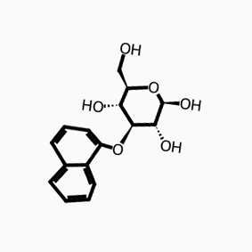 OC[C@H]1O[C@@H](O)[C@H](O)[C@@H](Oc2cccc3ccccc23)[C@@H]1O